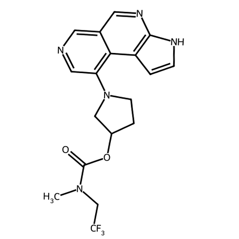 CN(CC(F)(F)F)C(=O)OC1CCN(c2cncc3cnc4[nH]ccc4c23)C1